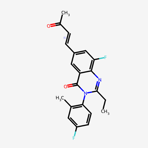 CCc1nc2c(F)cc(/C=C/C(C)=O)cc2c(=O)n1-c1ccc(F)cc1C